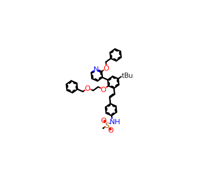 CC(C)(C)c1cc(/C=C/c2ccc(NS(C)(=O)=O)cc2)c(OCCOCc2ccccc2)c(-c2cccnc2OCc2ccccc2)c1